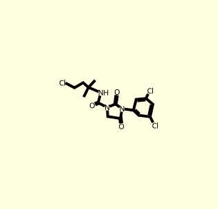 CC(C)(CCCl)NC(=O)N1CC(=O)N(c2cc(Cl)cc(Cl)c2)C1=O